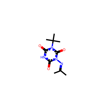 CC(C)=Nn1c(=O)[nH]c(=O)n(C(C)(C)C)c1=O